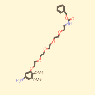 COc1cc(N)cc(OCCOCCOCCOCCOCCNC(=O)OCc2ccccc2)c1OC